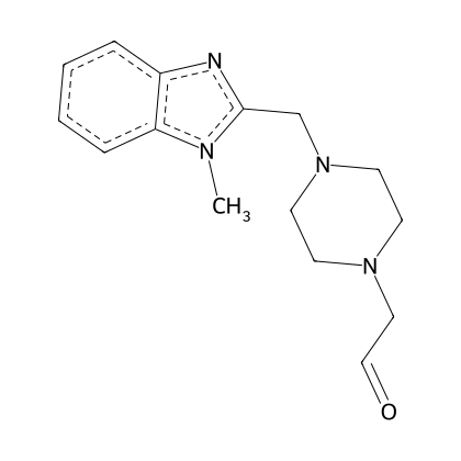 Cn1c(CN2CCN(CC=O)CC2)nc2ccccc21